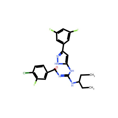 CCC(CC)N/C(=N/C(=O)c1ccc(Cl)c(F)c1)Nc1cc(-c2cc(F)cc(F)c2)n[nH]1